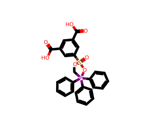 CCP(OS(=O)(=O)c1cc(C(=O)O)cc(C(=O)O)c1)(c1ccccc1)(c1ccccc1)c1ccccc1